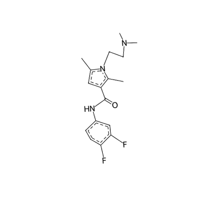 Cc1cc(C(=O)Nc2ccc(F)c(F)c2)c(C)n1CCN(C)C